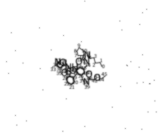 CCCCC1=NC2(CCCC2)C(=O)N1Cc1ccc(-c2ccccc2S(=O)(=O)Nc2onc(C)c2C)c(CN(C)C(=O)COCC)c1